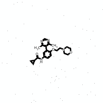 Cc1ncnc(C)c1-c1cc(NC(=O)C2CC2)ccc1OCCN1CCOCC1